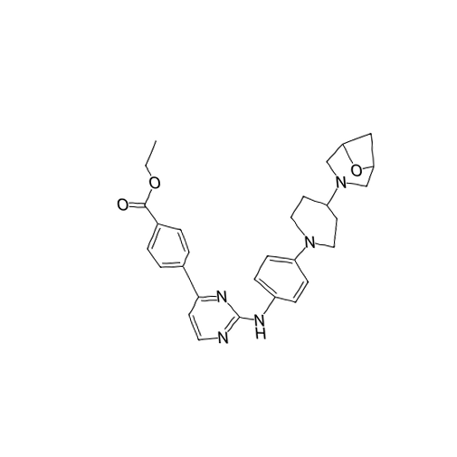 CCOC(=O)c1ccc(-c2ccnc(Nc3ccc(N4CCC(N5CC6CC(C5)O6)CC4)cc3)n2)cc1